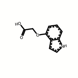 O=C(O)COc1cccc2[nH]ccc12